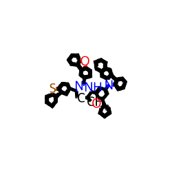 CC1CC/C(c2ccc3sc4ccccc4c3c2)=N\C(c2ccc3oc4ccccc4c3c2)NC1C1=CC(n2c3ccccc3c3cc4ccccc4cc32)=CC2c3ccccc3OC12